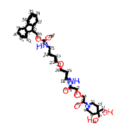 O=C(COCC(=O)N1CCC(CO)(CO)CC1)NCCCOCCCCNC(=O)OCC1c2ccccc2-c2ccccc21